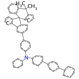 CC1(C)c2ccccc2C2(c3ccccc3-c3cc(-c4ccc(N(c5ccccc5)c5ccc(-c6ccc(-c7ccccc7)cc6)cc5)cc4)ccc32)c2ccccc21